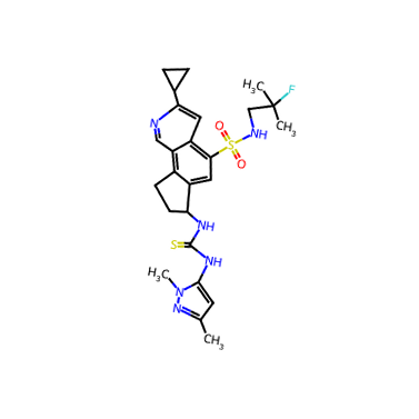 Cc1cc(NC(=S)NC2CCc3c2cc(S(=O)(=O)NCC(C)(C)F)c2cc(C4CC4)ncc32)n(C)n1